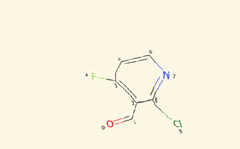 O=Cc1c(F)ccnc1Cl